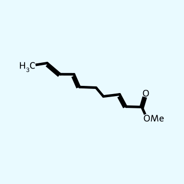 C/C=C/C=C/CC/C=C/C(=O)OC